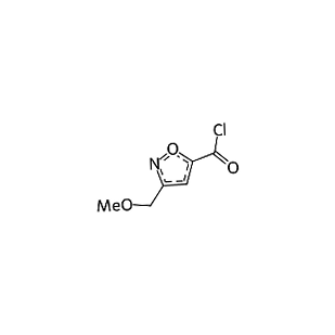 COCc1cc(C(=O)Cl)on1